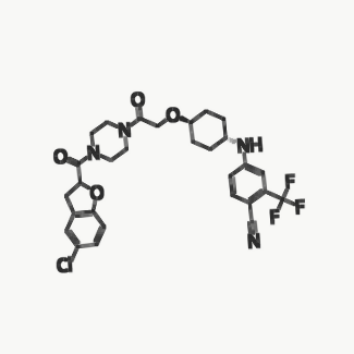 N#Cc1ccc(N[C@H]2CC[C@H](OCC(=O)N3CCN(C(=O)C4Cc5cc(Cl)ccc5O4)CC3)CC2)cc1C(F)(F)F